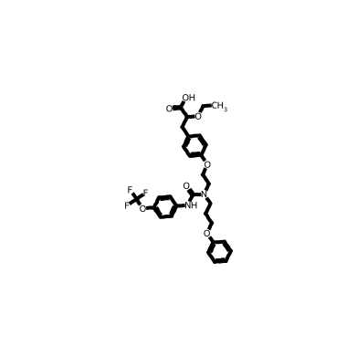 CCOC(Cc1ccc(OCCN(CCCOc2ccccc2)C(=O)Nc2ccc(OC(F)(F)F)cc2)cc1)C(=O)O